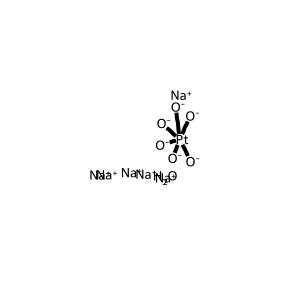 O.[Na+].[Na+].[Na+].[Na+].[Na+].[Na+].[O-][Pt]([O-])([O-])([O-])([O-])[O-]